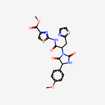 COC(=O)c1csc(NC(=O)C(Cc2nccs2)N2C(=O)NC(c3ccc(OC)cc3)C2=O)n1